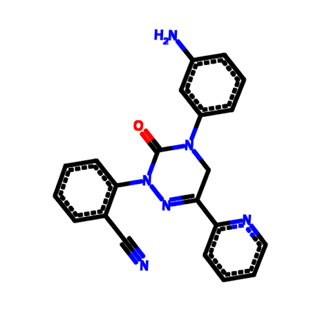 N#Cc1ccccc1N1N=C(c2ccccn2)CN(c2cccc(N)c2)C1=O